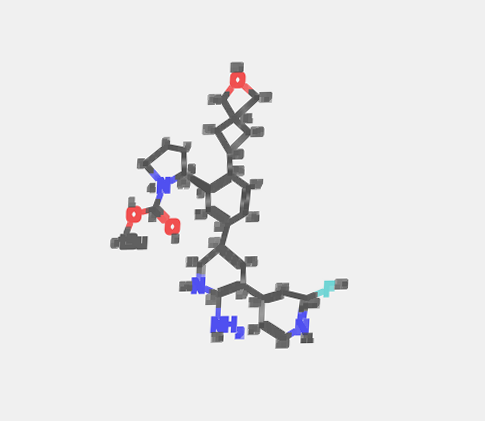 CC(C)(C)OC(=O)N1CCC[C@H]1c1cc(-c2cnc(N)c(-c3ccnc(F)c3)c2)ccc1C1CC2(COC2)C1